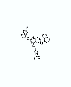 C=CC(=O)N1CC(CN(C)c2nc(OC[C@@]34CCCN3C[C@@H](F)C4)nc3c2CCN(c2cccc4cccc(Cl)c24)C3)C1